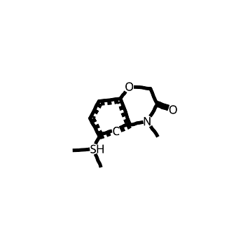 CN1C(=O)COc2ccc([SH](C)C)cc21